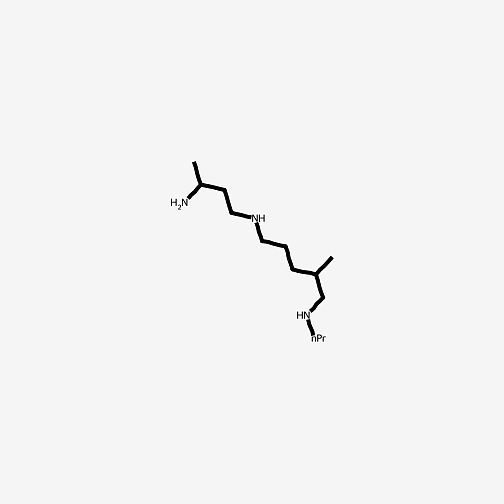 CCCNCC(C)CCCNCCC(C)N